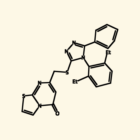 CCc1cccc(CC)c1-n1c(SCc2cc(=O)n3ccsc3n2)nnc1-c1ccccc1